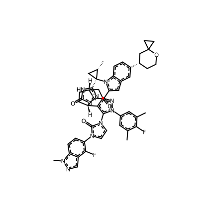 Cc1cc(-n2nc3c(c2-n2ccn(-c4ccc5c(cnn5C)c4F)c2=O)[C@@H]2CC[C@H](C3)N2C(=O)c2cc3cc([C@H]4CCOC5(CC5)C4)ccc3n2[C@@]2(c3noc(=O)[nH]3)C[C@@H]2C)cc(C)c1F